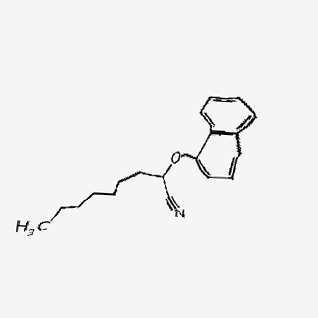 CCCCCCC(C#N)Oc1cccc2ccccc12